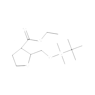 CCOC(=O)[C@]1(C)CCOC1CO[Si](C)(C)C(C)(C)C